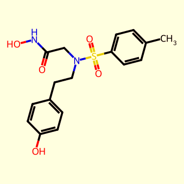 Cc1ccc(S(=O)(=O)N(CCc2ccc(O)cc2)CC(=O)NO)cc1